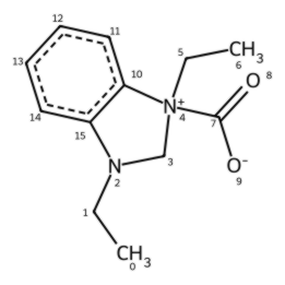 CCN1C[N+](CC)(C(=O)[O-])c2ccccc21